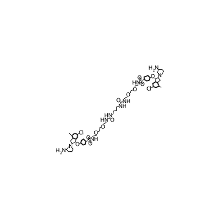 Cc1cc(Cl)cc2c1C[C@H](N1CCC[C@@H](N)C1)[C@H]2Oc1ccc(S(=O)(=O)NCCOCCOCCNC(=O)NCCCCNC(=O)NCCOCCOCCNS(=O)(=O)c2ccc(O[C@H]3c4cc(Cl)cc(C)c4C[C@@H]3N3CCC[C@@H](N)C3)cc2)cc1